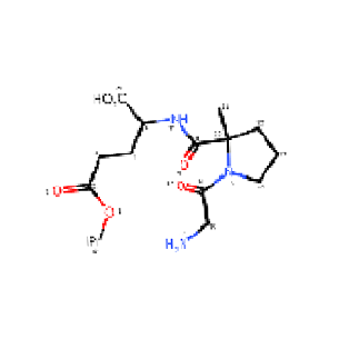 CC(C)OC(=O)CCC(NC(=O)C1(C)CCCN1C(=O)CN)C(=O)O